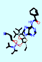 CC[C@H]1S[C@@H](n2cnc3c(NC(=O)c4ccccc4)ncnc32)C(O[Si](C(C)C)(C(C)C)C(C)C)[C@@H]1OP(OCCC#N)N(C(C)C)C(C)C